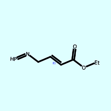 CCOC(=O)/C=C/CN=P